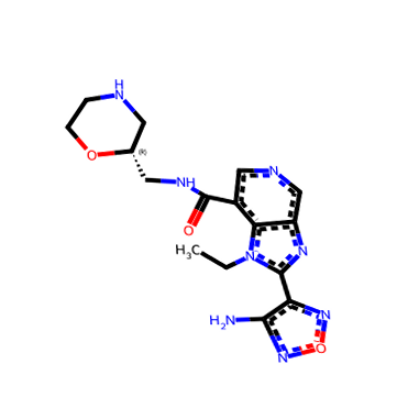 CCn1c(-c2nonc2N)nc2cncc(C(=O)NC[C@H]3CNCCO3)c21